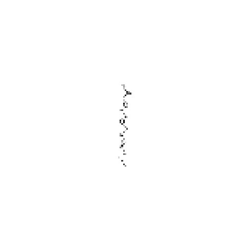 CCCCOCCOCCOCCC